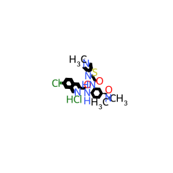 CN(C)C(=O)[C@H]1CC[C@H](NC(=O)c2cc3ccc(Cl)cc3cn2)[C@H](NC(=O)c2nc3cn(C)cc3s2)C1.Cl